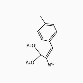 CCCC(=Cc1ccc(C)cc1)C(OC(C)=O)OC(C)=O